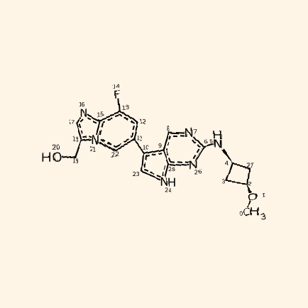 CO[C@H]1C[C@@H](Nc2ncc3c(-c4cc(F)c5ncc(CO)n5c4)c[nH]c3n2)C1